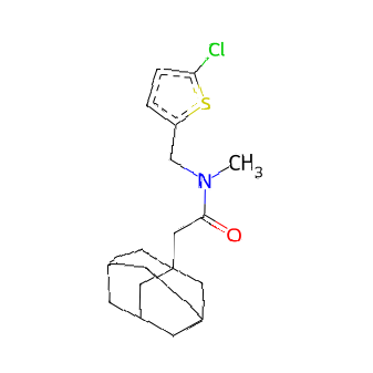 CN(Cc1ccc(Cl)s1)C(=O)CC12CC3CC(CC(C3)C1)C2